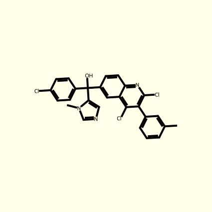 Cc1cccc(-c2c(Cl)nc3ccc(C(O)(c4ccc(Cl)cc4)c4cncn4C)cc3c2Cl)c1